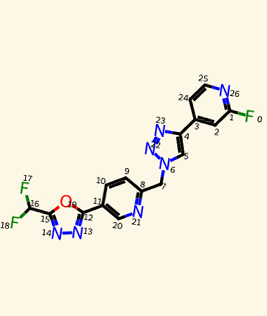 Fc1cc(-c2cn(Cc3ccc(-c4nnc(C(F)F)o4)cn3)nn2)ccn1